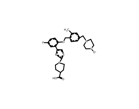 Cc1cc(CN2CC[S+]([O-])CC2)ccc1COc1ccc(F)cc1-c1csc(N2CCC(C(=O)O)CC2)n1